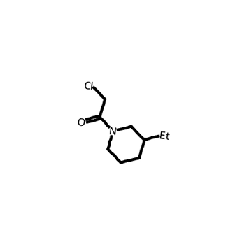 CCC1CCCN(C(=O)CCl)C1